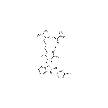 C=C(C)C(=O)OCCOC(=O)CCC1(CCC(=O)OCCOC(=O)C(=C)C)c2ccccc2-c2nc3ccc(C)cc3nc21